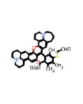 COC(=O)c1c(C)c(C)c(SCC=O)c(C)c1C1=c2ccc3c4c5c(cc3c2Oc2c1cc1c3c2CCCN3CCCC1)CCC[N+]=5CCC4